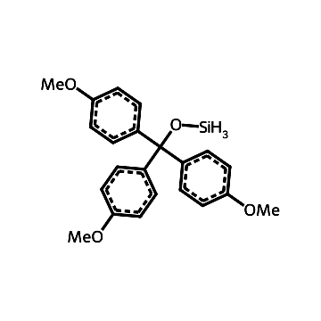 COc1ccc(C(O[SiH3])(c2ccc(OC)cc2)c2ccc(OC)cc2)cc1